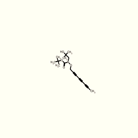 CC#CC#CC#CCON(CC(C)(C)O)C(=O)OC(C)(C)C